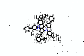 CC(C)(C)c1ccc(N2c3ccc(C4CCCCC4)cc3B3c4cc(C(C)(C)C)ccc4N(c4ccc(C5CCCCC5)cc4)c4cc(C(C)(C)c5ccccc5)cc2c43)cc1